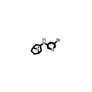 CN1C2CCC1CC(Nc1cncc(Br)c1)C2